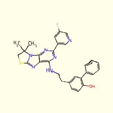 CC1(C)CSc2nc3c(NCCc4ccc(O)c(-c5ccccc5)c4)nc(-c4cncc(F)c4)nc3n21